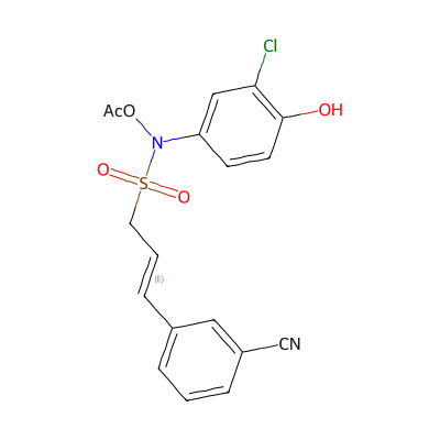 CC(=O)ON(c1ccc(O)c(Cl)c1)S(=O)(=O)C/C=C/c1cccc(C#N)c1